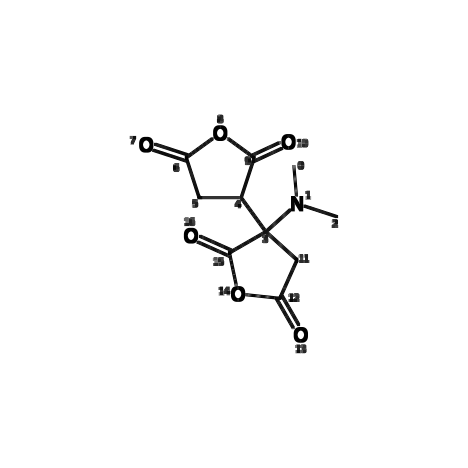 CN(C)C1(C2CC(=O)OC2=O)CC(=O)OC1=O